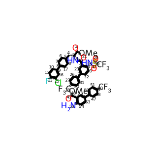 COC(=O)[C@@H](Cc1ccc(-c2ccc(F)c(Cl)c2)cc1)NC(=O)c1cc(-c2ccc(C(F)(F)F)cc2)ccc1NS(=O)(=O)C(F)(F)F.COC(=O)c1cc(-c2ccc(C(F)(F)F)cc2)ccc1N